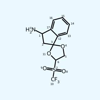 NC1CC2(OCC(S(=O)(=O)C(F)(F)F)O2)c2ccccc21